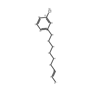 [CH2]C=CCCCCCCc1cccc(Cl)c1